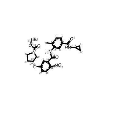 Cc1ccc(C(=O)NC2CC2)cc1NC(=O)c1cc(O[C@@H]2CCN(C(=O)OC(C)(C)C)C2)ccc1[N+](=O)[O-]